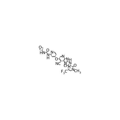 Cn1cc(C(F)(F)F)cc(Nc2nc3ncc(Oc4ccnc(NC(=O)NC5COC5)c4)c(C#N)c3n2C)c1=O